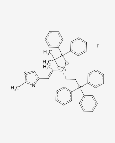 C/C(=C\c1csc(C)n1)[C@@H](CC[P+](c1ccccc1)(c1ccccc1)c1ccccc1)O[Si](c1ccccc1)(c1ccccc1)C(C)(C)C.[I-]